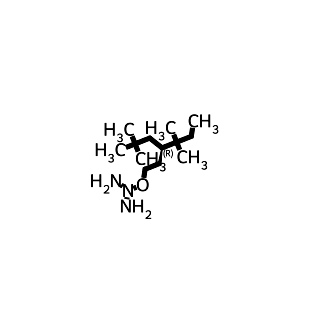 CCC(C)(C)[C@@H](CCON(N)N)CC(C)(C)C